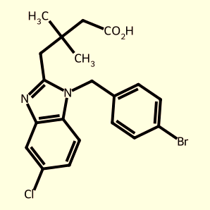 CC(C)(CC(=O)O)Cc1nc2cc(Cl)ccc2n1Cc1ccc(Br)cc1